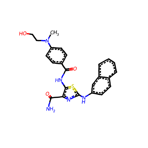 CN(CCO)c1ccc(C(=O)Nc2sc(Nc3ccc4ccccc4c3)nc2C(N)=O)cc1